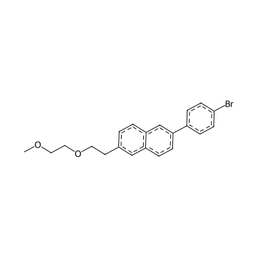 COCCOCCc1ccc2cc(-c3ccc(Br)cc3)ccc2c1